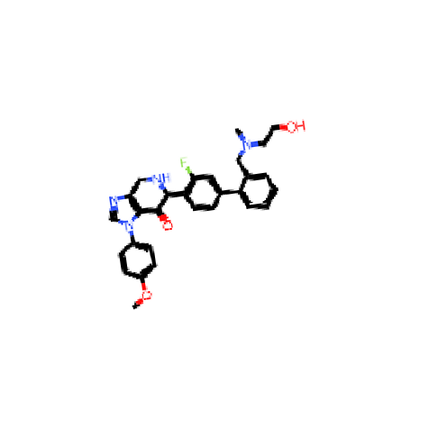 COc1ccc(-n2cnc3c2C(=O)C(c2ccc(-c4ccccc4CN(C)CCO)cc2F)NC3)cc1